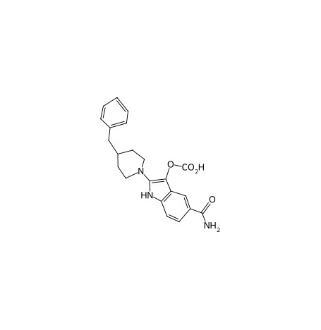 NC(=O)c1ccc2[nH]c(N3CCC(Cc4ccccc4)CC3)c(OC(=O)O)c2c1